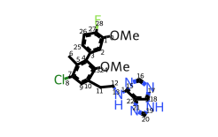 COc1cc(-c2c(C)c(Cl)cc(CCNc3ncnc4[nH]cnc34)c2OC)ccc1F